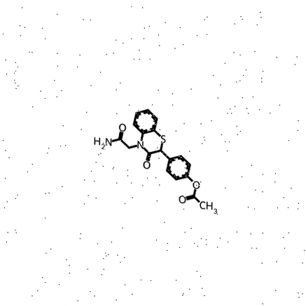 CC(=O)Oc1ccc(C2Sc3ccccc3N(CC(N)=O)C2=O)cc1